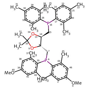 COc1cc(C)c(P(C[C@@H]2OC(C)(C)O[C@H]2CP(c2c(C)cc(C)cc2C)c2c(C)cc(C)cc2C)c2c(C)cc(OC)cc2C)c(C)c1